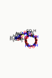 CC[C@H](C)[C@H](NC(=O)C(C)(C)N(C)C)C(=O)N(C)[C@H](C[C@@H](OC(C)=O)c1nc(C(=O)NC(Cc2ccc3c(c2)NC(=O)CCCNC(=O)CCOCCOCCNC(=O)C#CC(=O)NCCOCCOCCC(=O)O3)CC(C)C(=O)O)cs1)C(C)C